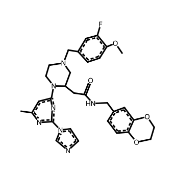 COc1ccc(CN2CCN(c3cc(C)nc(-n4ccnc4)n3)C(CC(=O)NCc3ccc4c(c3)OCCO4)C2)cc1F